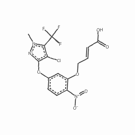 Cn1nc(Oc2ccc([N+](=O)[O-])c(OCC=CC(=O)O)c2)c(Cl)c1C(F)(F)F